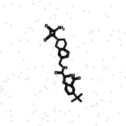 CC(C)(C)c1ccc2nc(C(=O)NCc3ccc4c(c3)CN(c3c(N)c(=O)c3=O)CC4)[nH]c(=O)c2c1